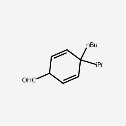 CCCCC1(C(C)C)C=CC(C=O)C=C1